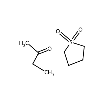 CCC(C)=O.O=S1(=O)CCCC1